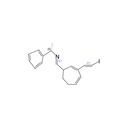 C[C@H](/N=C/C1C=C(/C=C/I)C=CCC1)c1ccccc1